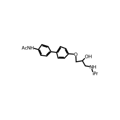 CC(=O)Nc1ccc(-c2ccc(OCC(O)CNC(C)C)cc2)cc1